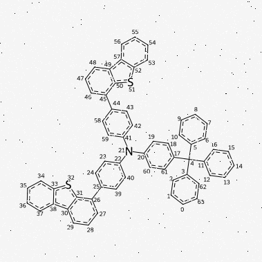 c1ccc(C(c2ccccc2)(c2ccccc2)c2ccc(N(c3ccc(-c4cccc5c4sc4ccccc45)cc3)c3ccc(-c4cccc5c4sc4ccccc45)cc3)cc2)cc1